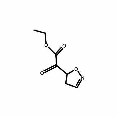 CCOC(=O)C(=O)C1CC=NO1